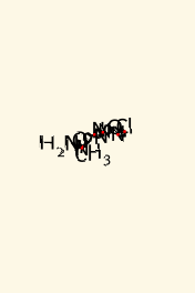 CN(Cc1cccc(-c2cnc(N3CCC(Oc4ncccc4Cl)CC3)nc2)c1)C(=O)CN